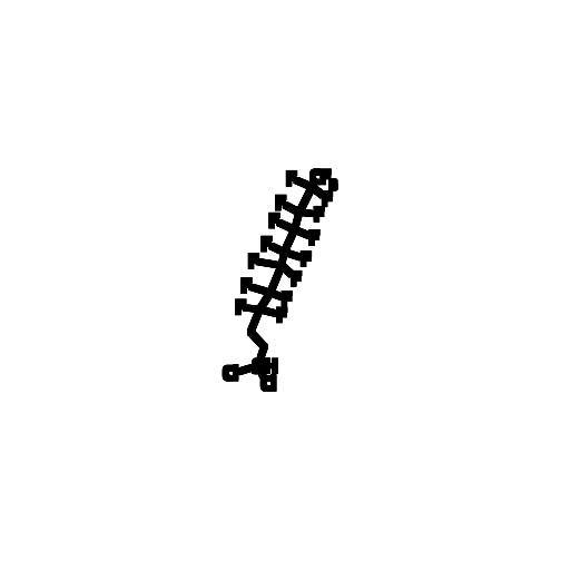 FC(F)(F)C(F)(F)C(F)(F)C(F)(F)C(F)(F)C(F)(F)C(F)(F)C(F)(F)CC[SiH](Cl)Cl